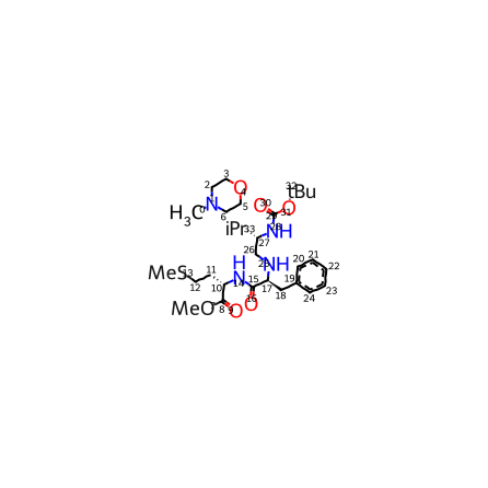 CN1CCOCC1.COC(=O)[C@H](CCSC)NC(=O)[C@H](Cc1ccccc1)NC[C@@H](NC(=O)OC(C)(C)C)C(C)C